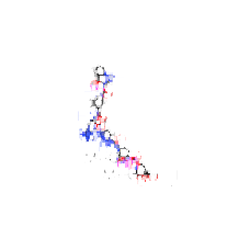 COc1c(NC(=O)c2ccc(NC(=O)c3ccc(NC(=O)[C@H](Cc4c[nH]nn4)NC(=O)c4ccc(NC(=O)c5c[nH]c6ccccc6c5=O)cc4)cn3)c(OC)c2O)ccc(C(=O)O)c1O